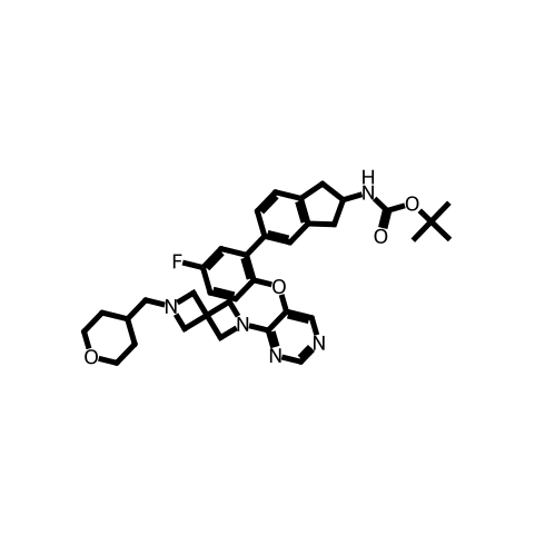 CC(C)(C)OC(=O)NC1Cc2ccc(-c3cc(F)ccc3Oc3cncnc3N3CC4(CN(CC5CCOCC5)C4)C3)cc2C1